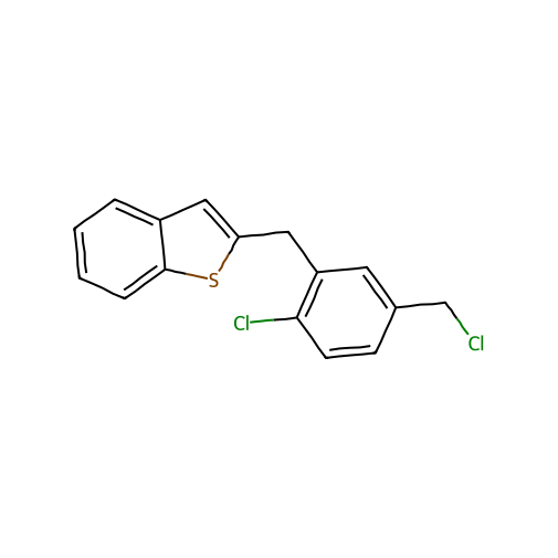 ClCc1ccc(Cl)c(Cc2cc3ccccc3s2)c1